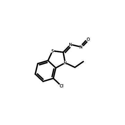 CCn1/c(=N\N=O)sc2cccc(Cl)c21